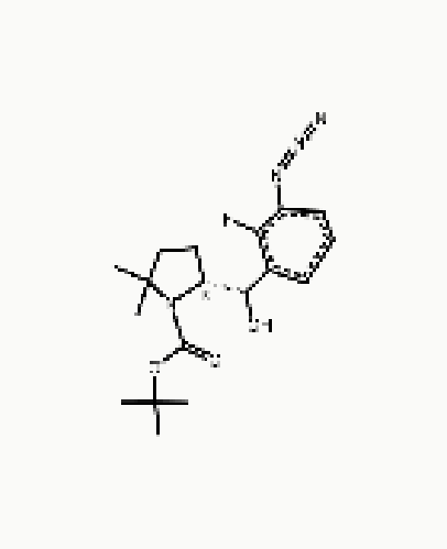 CC(C)(C)OC(=O)N1[C@@H](C(O)c2cccc(N=[N+]=[N-])c2F)CCC1(C)C